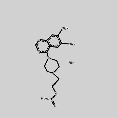 Br.COc1cc2ncnc(N3CCN(CCO[PH](=O)O)CC3)c2cc1OC